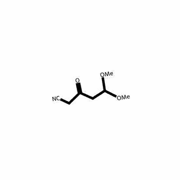 COC(CC(=O)CC#N)OC